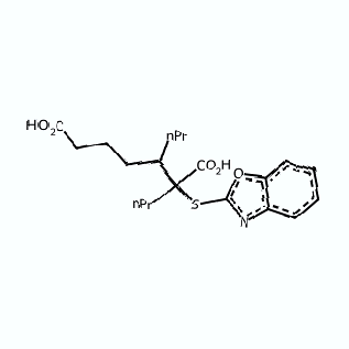 CCCC(CCCC(=O)O)C(CCC)(Sc1nc2ccccc2o1)C(=O)O